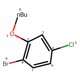 CCCCOc1cc(Cl)ccc1Br